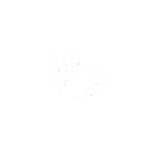 CC(C)(C)c1ccc(-n2c3ccccc3c3ccc(-c4ccc5c(c4)c4ccccc4n5-c4nc(-c5ccccc5)nc(-c5ccccc5)n4)cc32)cc1